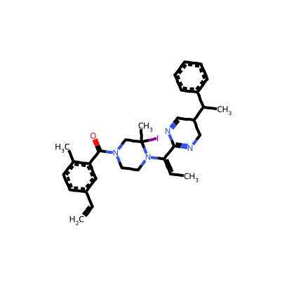 C=Cc1ccc(C)c(C(=O)N2CCN(C(=CC)C3=NCC(C(C)c4ccccc4)C=N3)C(C)(I)C2)c1